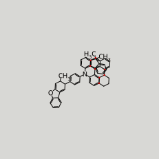 CC1C=c2oc3ccccc3c2=CC1c1ccc(N(c2ccccc2-c2cccc3cccc(C4CCCCC4)c23)c2cccc3c2-c2ccccc2C3(C)C)cc1